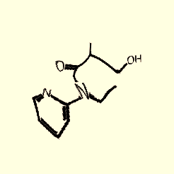 CCN(C(=O)C(C)CO)c1ccccn1